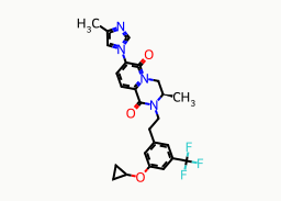 Cc1cn(-c2ccc3n(c2=O)C[C@@H](C)N(CCc2cc(OC4CC4)cc(C(F)(F)F)c2)C3=O)cn1